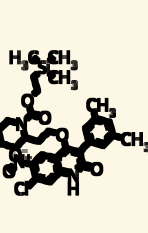 Cc1cc(C)cc(-c2c(OCCC3CCCCN3C(=O)OCC[Si](C)(C)C)c3cc([N+](=O)[O-])c(Cl)cc3[nH]c2=O)c1